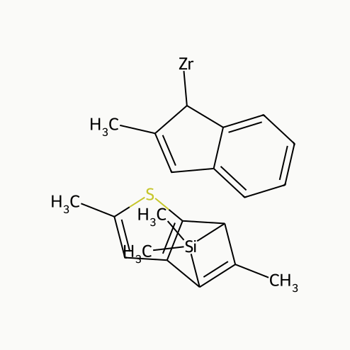 CC1=C2c3cc(C)sc3C1[Si]2(C)C.CC1=Cc2ccccc2[CH]1[Zr]